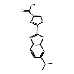 CC(C)c1ccc2nc(C3=N[C@@H](C(=O)O)CS3)sc2c1